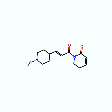 CN1CCC(/C=C/C(=O)N2CCC=CC2=O)CC1